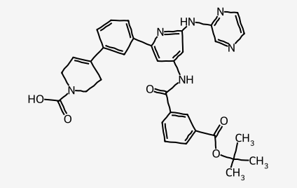 CC(C)(C)OC(=O)c1cccc(C(=O)Nc2cc(Nc3cnccn3)nc(-c3cccc(C4=CCN(C(=O)O)CC4)c3)c2)c1